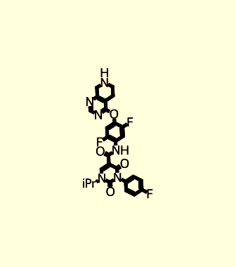 CC(C)n1cc(C(=O)Nc2cc(F)c(Oc3ncnc4c3CCNC4)cc2F)c(=O)n(-c2ccc(F)cc2)c1=O